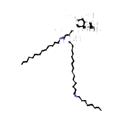 CCCCCCCC/C=C\CCCCCCCCCCCCCC(=O)NC(CO[C@@H]1O[C@H](CO)[C@H](O)[C@H](OS(=O)(=O)O)C1O)C(O)/C=C/CCCCCCCCCCCCC